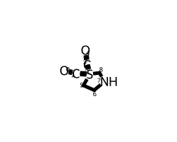 O=C=S1(=C=O)CCNC1